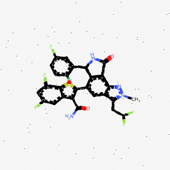 Cn1nc2c3c(c(-c4sc5c(F)cc(F)cc5c4C(N)=O)cc2c1CC(F)F)C(c1cc(F)ccc1Cl)NC3=O